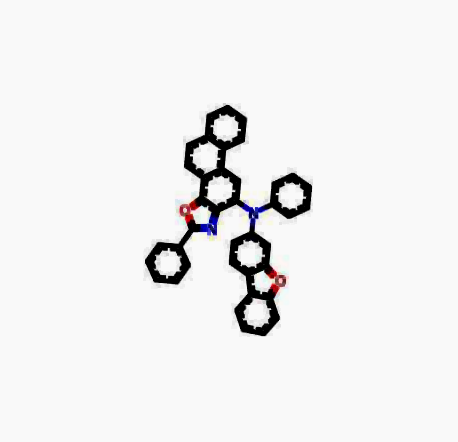 c1ccc(-c2nc3c(N(c4ccccc4)c4ccc5c(c4)oc4ccccc45)cc4c5ccccc5ccc4c3o2)cc1